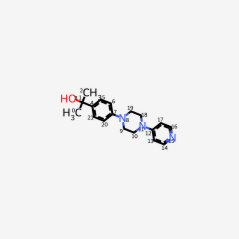 CC(C)(O)c1ccc(N2CCN(c3ccncc3)CC2)cc1